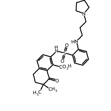 CC1(C)CCc2ccc(NS(=O)(=O)c3ccccc3NCCCN3CCCC3)c(C(=O)O)c2C1=O